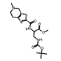 COC(=O)C(CNC(=O)OC(C)(C)C)NC(=O)c1nc2c(s1)CN(C)CC2